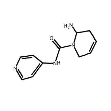 NC1CC=CCN1C(=O)Nc1ccncc1